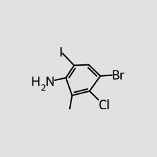 Cc1c(N)c(I)cc(Br)c1Cl